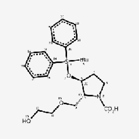 CC(C)(C)[Si](O[C@H]1CCN(C(=O)O)[C@@H]1COCCO)(c1ccccc1)c1ccccc1